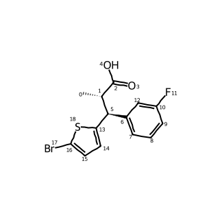 C[C@H](C(=O)O)[C@@H](c1cccc(F)c1)c1ccc(Br)s1